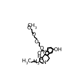 CCCC[C@H]1C[C@H]2c3c(c4cc(O)ccc4n3C(=O)OCCOCCOCCOC)CC[N@@](C1)C2C